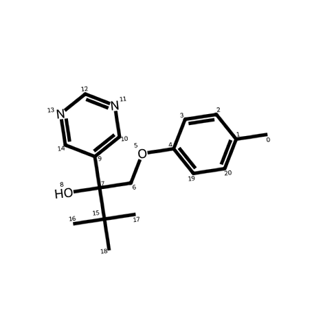 Cc1ccc(OCC(O)(c2cncnc2)C(C)(C)C)cc1